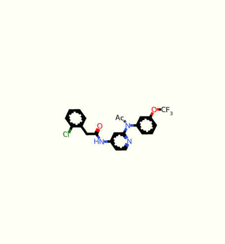 CC(=O)N(c1cccc(OC(F)(F)F)c1)c1cc(NC(=O)Cc2ccccc2Cl)ccn1